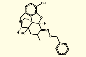 CC1CC2(O)[C@H]3Cc4ccc(O)c5c4[C@@]2(CCN3)[C@@H](O5)C1=NOCc1ccccc1